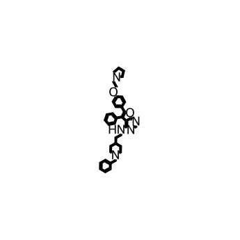 c1ccc(CN2CCC(CCNc3ncnc4oc(-c5ccc(OCCN6CCCC6)cc5)c(-c5ccccc5)c34)CC2)cc1